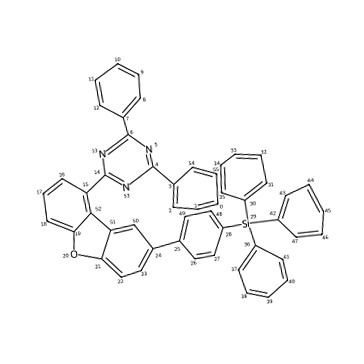 c1ccc(-c2nc(-c3ccccc3)nc(-c3cccc4oc5ccc(-c6ccc([Si](c7ccccc7)(c7ccccc7)c7ccccc7)cc6)cc5c34)n2)cc1